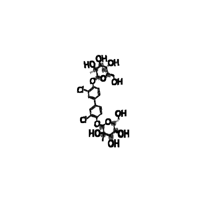 C[C@@]1(O)[C@@H](Oc2ccc(-c3ccc(O[C@H]4O[C@H](CO)[C@@H](O)[C@H](O)[C@]4(C)O)c(Cl)c3)cc2Cl)O[C@H](CO)[C@@H](O)[C@@H]1O